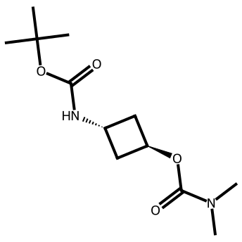 CN(C)C(=O)O[C@H]1C[C@H](NC(=O)OC(C)(C)C)C1